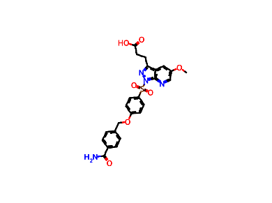 COc1cnc2c(c1)c(CCC(=O)O)nn2S(=O)(=O)c1ccc(OCc2ccc(C(N)=O)cc2)cc1